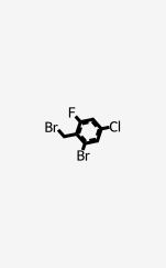 Fc1cc(Cl)cc(Br)c1CBr